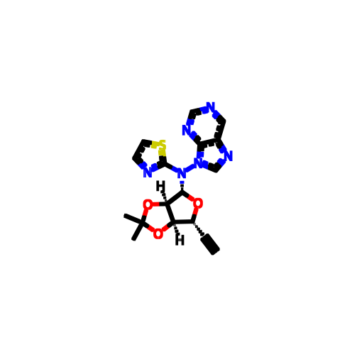 C#C[C@H]1O[C@@H](N(c2nccs2)n2cnc3cncnc32)[C@@H]2OC(C)(C)O[C@@H]21